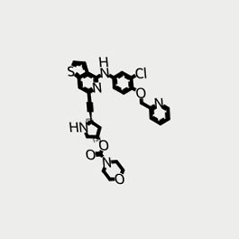 O=C(O[C@@H]1CN[C@@H](C#Cc2cc3sccc3c(Nc3ccc(OCc4ccccn4)c(Cl)c3)n2)C1)N1CCOCC1